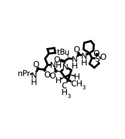 CCCNC(=O)C(=O)C(CC1CCC1)NC(=O)[C@@H]1[C@@H]2[C@H](CN1C(=O)[C@@H](NC(=O)NC1(C3CCCS3(=O)=O)CCCCC1)C(C)(C)C)C2(C)C